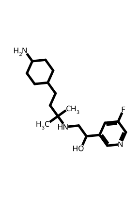 CC(C)(CCC1CCC(N)CC1)NCC(O)c1cncc(F)c1